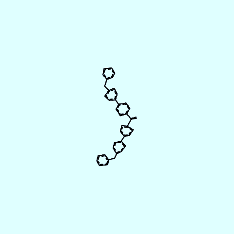 C=C(c1ccc(-c2ccc(Cc3ccccc3)cc2)cc1)c1ccc(-c2ccc(Cc3ccccc3)cc2)cc1